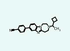 CC(C1CCC1)N1CCc2nc3cc(-c4ccc(C#N)cc4)ccc3n2CC1